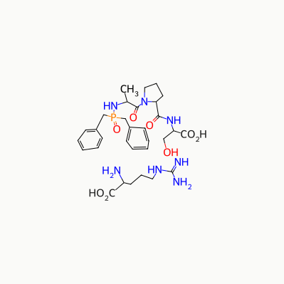 CC(NP(=O)(Cc1ccccc1)Cc1ccccc1)C(=O)N1CCCC1C(=O)NC(CO)C(=O)O.N=C(N)NCCCC(N)C(=O)O